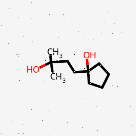 CC(C)(O)CCC1(O)CCCC1